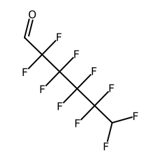 O=CC(F)(F)C(F)(F)C(F)(F)C(F)(F)C(F)F